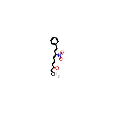 C=CC(=O)C=CC=C(C=Cc1ccccc1)[N+](=O)[O-]